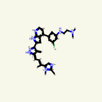 C=c1c(-c2cc3c(-c4cc(F)cc(NCCN(C)C)c4)ccnc3[nH]2)n[nH]/c1=C/C=C(\C)c1cnc(C)n1C